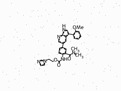 COc1ccccc1-c1c[nH]c2ncc(-c3ccc(NC(=O)OCCn4ccnc4)c(C(=O)N(C)C)c3)cc12